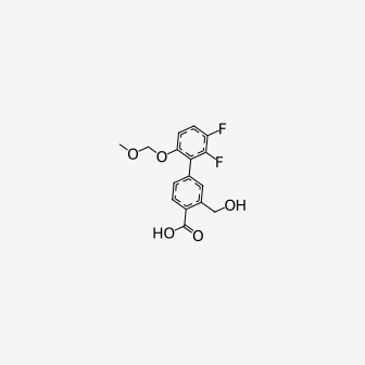 COCOc1ccc(F)c(F)c1-c1ccc(C(=O)O)c(CO)c1